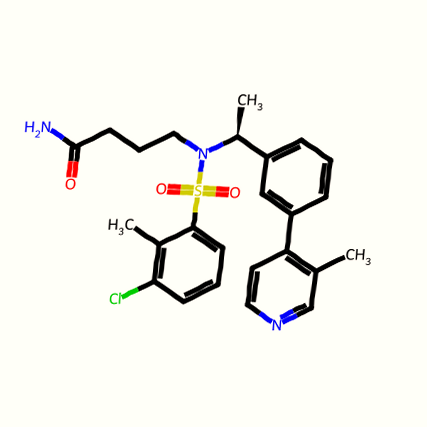 Cc1cnccc1-c1cccc([C@H](C)N(CCCC(N)=O)S(=O)(=O)c2cccc(Cl)c2C)c1